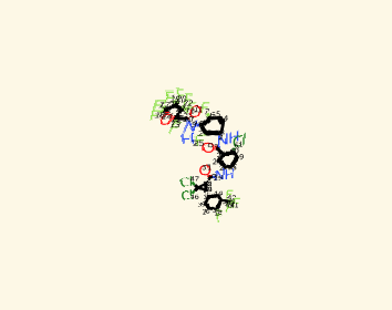 O=C(Nc1ccc(F)c(NC(=O)C2(F)OC(F)(F)C(F)(F)C2(F)F)c1F)c1cc(NC(=O)[C@H]2[C@H](c3ccc(F)c(C(F)(F)F)c3)C2(Cl)Cl)ccc1Cl